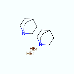 Br.Br.C1CN2CCC1CC2.C1CN2CCC1CC2